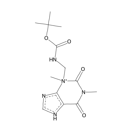 CN1C(=O)c2[nH]cnc2[N+](C)(CNC(=O)OC(C)(C)C)C1=O